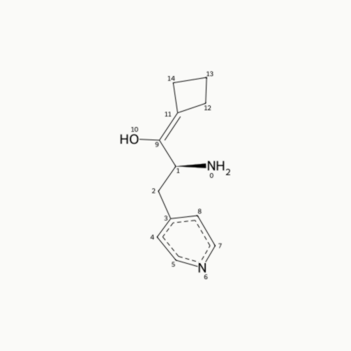 N[C@@H](Cc1ccncc1)C(O)=C1CCC1